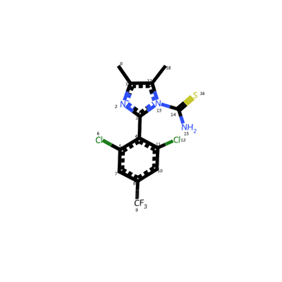 Cc1nc(-c2c(Cl)cc(C(F)(F)F)cc2Cl)n(C(N)=S)c1C